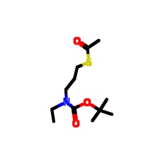 CCN(CCCSC(C)=O)C(=O)OC(C)(C)C